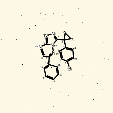 Brc1ccc(C2(c3nnc4ncc(-c5ccccc5)nn34)CC2)cc1